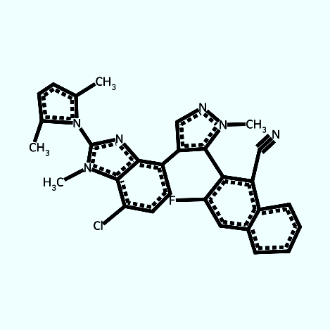 Cc1ccc(C)n1-c1nc2c(-c3cnn(C)c3-c3c(F)cc4ccccc4c3C#N)ccc(Cl)c2n1C